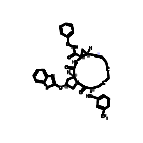 O=C1N[C@]2(C(=O)NOc3ccccc3)C[C@H]2/C=C\CCCCC[C@H](Nc2cccc(C(F)(F)F)c2)C(=O)N2C[C@H](Oc3nc4ccccc4s3)C[C@@H]12